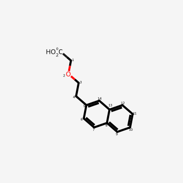 O=C(O)COCCc1ccc2ccccc2c1